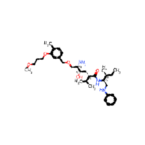 CC[C@H](C)[C@@H](CNc1ccccc1)NC(=O)[C@@H](C[C@H](O)[C@@H](N)COCc1ccc(C)c(OCCCOC)c1)C(C)C